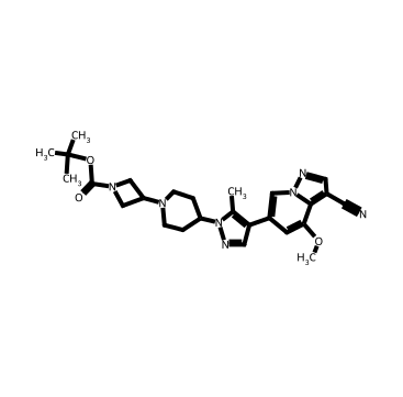 COc1cc(-c2cnn(C3CCN(C4CN(C(=O)OC(C)(C)C)C4)CC3)c2C)cn2ncc(C#N)c12